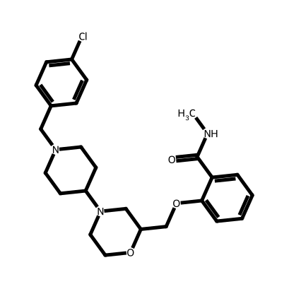 CNC(=O)c1ccccc1OCC1CN(C2CCN(Cc3ccc(Cl)cc3)CC2)CCO1